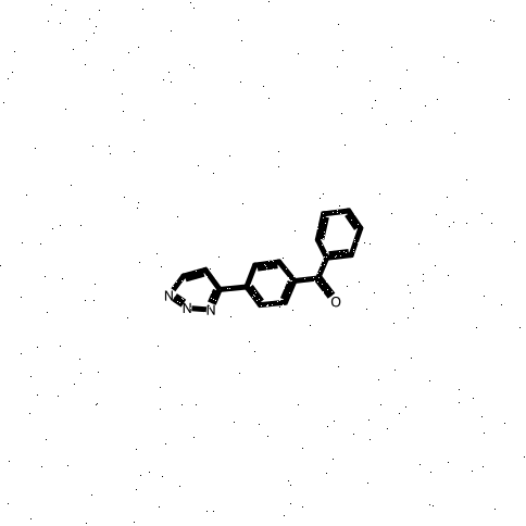 O=C(c1ccccc1)c1ccc(-c2ccnnn2)cc1